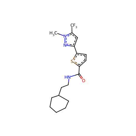 Cn1nc(-c2ccc(C(=O)NCCC3CCCCC3)s2)cc1C(F)(F)F